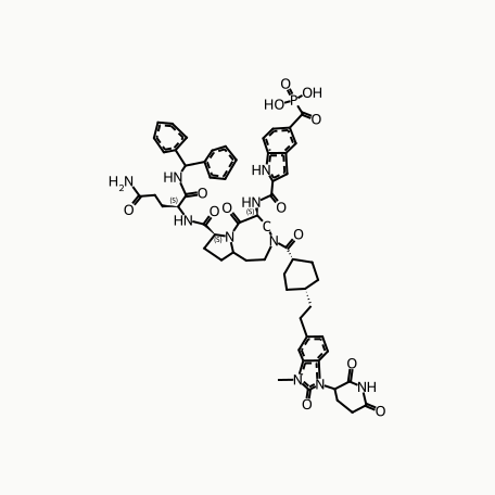 Cn1c(=O)n(C2CCC(=O)NC2=O)c2ccc(CC[C@H]3CC[C@@H](C(=O)N4CCC5CC[C@@H](C(=O)N[C@@H](CCC(N)=O)C(=O)NC(c6ccccc6)c6ccccc6)N5C(=O)[C@@H](NC(=O)c5cc6cc(C(=O)P(=O)(O)O)ccc6[nH]5)C4)CC3)cc21